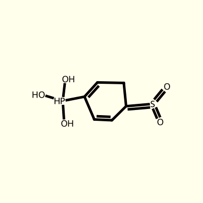 O=S(=O)=C1C=CC([PH](O)(O)O)=CC1